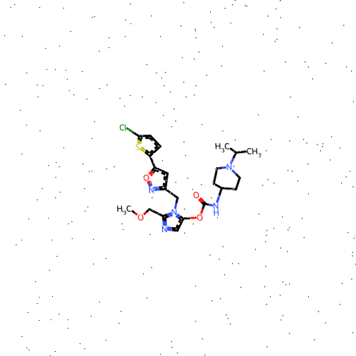 COCc1ncc(OC(=O)NC2CCN(C(C)C)CC2)n1Cc1cc(-c2ccc(Cl)s2)on1